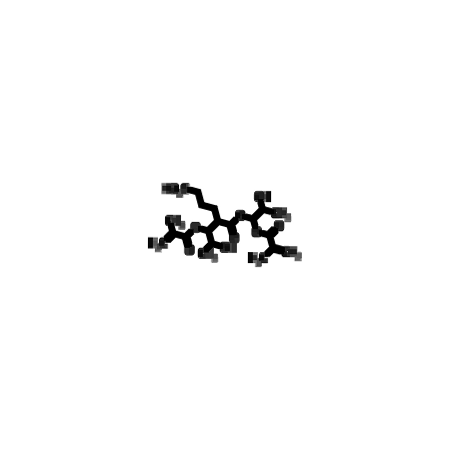 C=C(C)C(=O)OC(OC(=O)C(CCCC(=O)O)C(OC(=O)C(=C)C)C(C)O)C(C)O